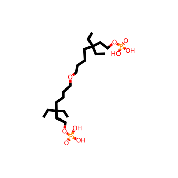 CCC(CC)(CCCCOCCCCC(CC)(CC)CCOP(=O)(O)O)CCOP(=O)(O)O